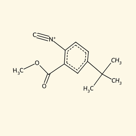 [C-]#[N+]c1ccc(C(C)(C)C)cc1C(=O)OC